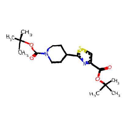 CC(C)(C)OC(=O)c1csc(C2CCN(C(=O)OC(C)(C)C)CC2)n1